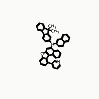 CC1(C)c2ccccc2-c2ccc(N(c3ccc4ccccc4c3)c3cc4oc5cccc(-c6cccnc6)c5c4c4ccccc34)cc21